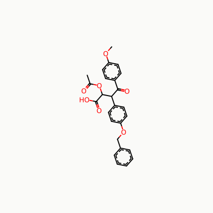 COc1ccc(C(=O)C(c2ccc(OCc3ccccc3)cc2)C(OC(C)=O)C(=O)O)cc1